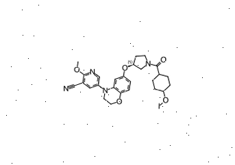 COc1ncc(N2CCOc3ccc(O[C@H]4CCN(C(=O)C5CCC(OI)CC5)C4)cc32)cc1C#N